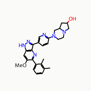 COc1cc2[nH]nc(-c3ccc(N4CCN5CC(O)CC5C4)nc3)c2nc1-c1cccc(C)c1C